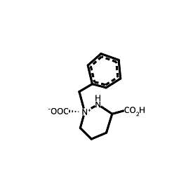 O=C(O)C1CCC[N@+](Cc2ccccc2)(C(=O)[O-])N1